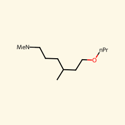 CCCOCCC(C)CCCNC